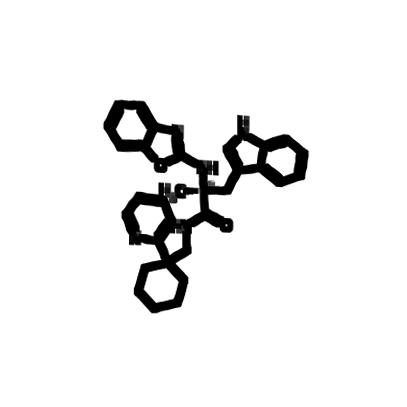 C[C@@](Cc1c[nH]c2ccccc12)(Nc1nc2ccccc2o1)C(=O)NCC1(c2ccccn2)CCCCC1